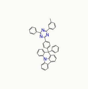 Cc1cccc(-c2nc(-c3ccccc3)nc(-c3ccc(C4(c5ccccc5)c5ccccc5-n5c6ccccc6c6cccc4c65)cc3)n2)c1